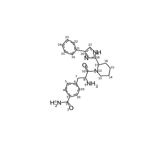 NC(=O)c1ccc(CC(N)C(=O)N2CCCCC2c2nc(-c3ccccc3)c[nH]2)cc1